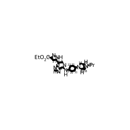 CCOC(=O)c1cc(-c2cnc(Nc3ccc(N4C[C@@H]5C[C@H]4CN5C(C)C)cc3)c3ncnn23)[nH]n1